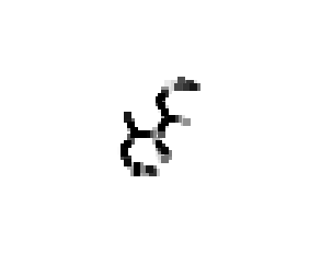 CCCCCCCCCCCC(C)[S+]([O-])C(C)CCCCCCCCCCC